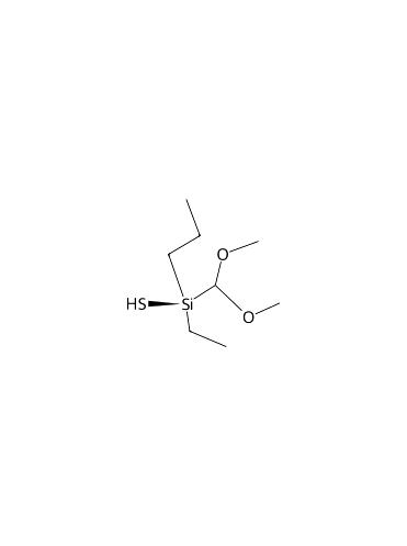 CCC[Si@@](S)(CC)C(OC)OC